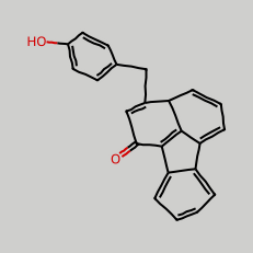 O=C1C=C(Cc2ccc(O)cc2)C2C=CC=C3C2=C1c1ccccc13